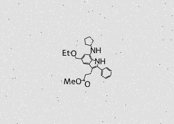 CCOCc1cc(NC2CCCC2)c2[nH]c(-c3ccccc3)c(CCC(=O)OC)c2c1